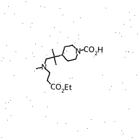 CCOC(=O)CCN(C)CC(C)(C)C1CCN(C(=O)O)CC1